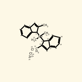 CC1=Cc2ccccc2C1[Si](C)(C)C1C(C)=Cc2ccccc21.[Cl-].[Cl-].[Zr+2]